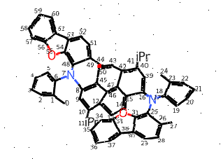 Cc1ccccc1N(c1cc(C(C)C)c2ccc3c(N(c4ccccc4C)c4c(C)ccc5c4oc4ccccc45)cc(C(C)C)c4ccc1c2c43)c1c(C)ccc2c1oc1ccccc12